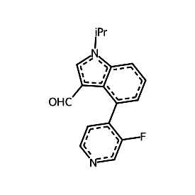 CC(C)n1cc(C=O)c2c(-c3ccncc3F)cccc21